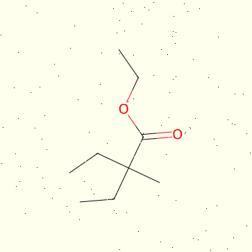 CCOC(=O)C(C)(CC)CC